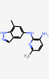 Cc1cc(Nc2nc(C(F)(F)F)ccc2N)cc2cn[nH]c12